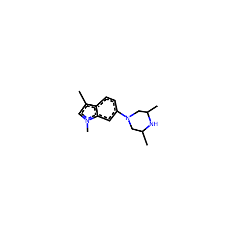 Cc1cn(C)c2cc(N3CC(C)NC(C)C3)ccc12